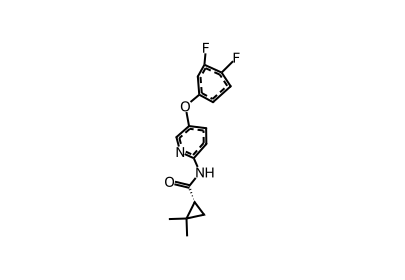 CC1(C)C[C@H]1C(=O)Nc1ccc(Oc2ccc(F)c(F)c2)cn1